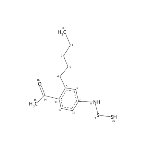 CCCCCc1cc(NSS)ccc1C(C)=O